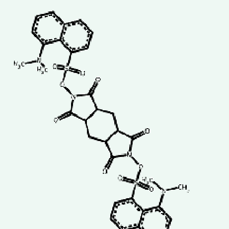 CN(C)c1cccc2cccc(S(=O)(=O)ON3C(=O)C4CC5C(=O)N(OS(=O)(=O)c6cccc7cccc(N(C)C)c67)C(=O)C5CC4C3=O)c12